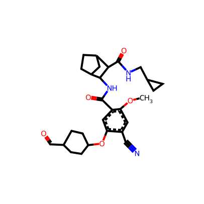 COc1cc(C#N)c(OC2CCC(C=O)CC2)cc1C(=O)NC1C2CCC(C2)C1C(=O)NCC1CC1